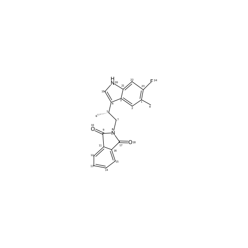 Cc1cc2c([C@@H](C)CN3C(=O)c4ccccc4C3=O)c[nH]c2cc1F